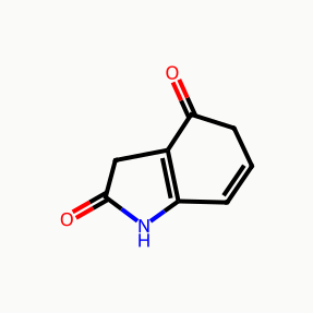 O=C1CC2=C(C=CCC2=O)N1